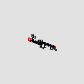 C\C(C=O)=C/C=C/C(C)=C/C#C/C=C(C)/C=C/C=C(\C)C=O